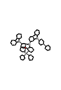 c1ccc(-c2ccc(-n3c4ccccc4c4ccc(-n5c6cc(-n7c8ccccc8c8ccccc87)ccc6c6c([Si](c7ccccc7)(c7ccccc7)c7ccccc7)cccc65)cc43)cc2)cc1